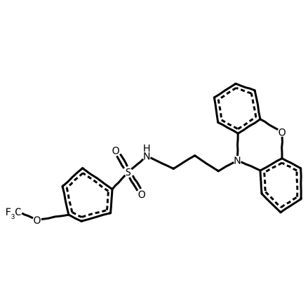 O=S(=O)(NCCCN1c2ccccc2Oc2ccccc21)c1ccc(OC(F)(F)F)cc1